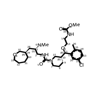 CN[C@H](CNC(=O)N1CCC[C@@H]([C@@H](OCCNC(=O)OC)c2cc(Cl)ccc2C)C1)C[C@H]1CCCCOC1